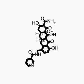 NC(=O)C1=C(O)C[C@@H]2C[C@@H]3Cc4c(CNC(=O)c5cccnc5)ccc(O)c4C(=O)C3=C(O)[C@]2(O)C1=O